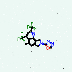 Cc1cc2c(c3nc(C(F)(F)F)cc(C(F)(F)F)c13)CN(c1nnco1)C2